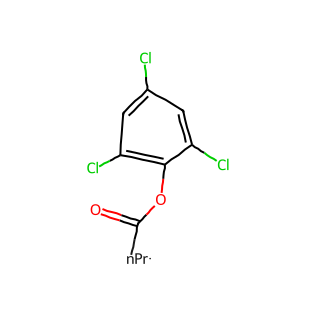 CC[CH]C(=O)Oc1c(Cl)cc(Cl)cc1Cl